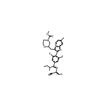 C/C=C(C#N)\N=C(\c1cc(F)c(-c2nc3cc(C)ccn3c2CC2CN(C(=O)OC)CCO2)c(F)c1)C(C)CC